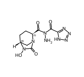 NN(C(=O)c1nnn[nH]1)C(=O)[C@@H]1CC[C@@H]2CN1C(=O)N2O